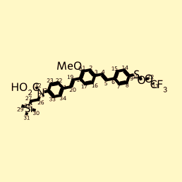 COc1cc(C=Cc2ccc(SOOC(F)(F)F)cc2)ccc1C=Cc1ccc(N(CC[Si](C)(C)C)C(=O)O)cc1